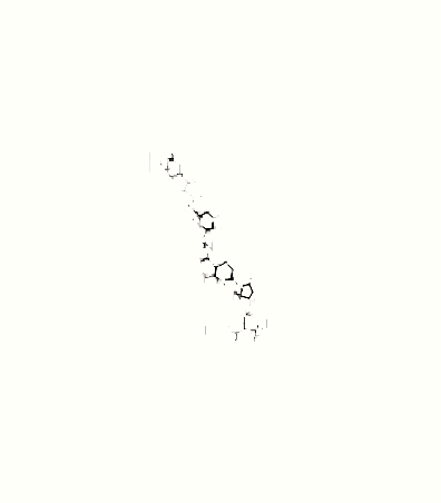 CC(C)C(COc1ccn(-c2ccc(C(=O)NSc3cccc(NCCCC4CNC(C)(C)C4)n3)c(Cl)n2)n1)C(C)C